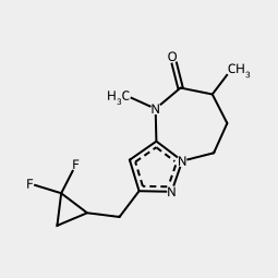 CC1CCn2nc(CC3CC3(F)F)cc2N(C)C1=O